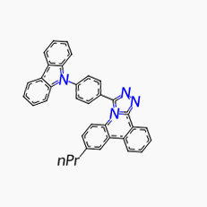 CCCc1ccc2c(c1)c1ccccc1c1nnc(-c3ccc(-n4c5ccccc5c5ccccc54)cc3)n21